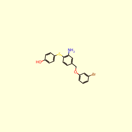 Nc1cc(COc2cccc(Br)c2)ccc1Sc1ccc(O)cc1